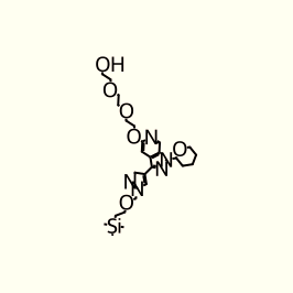 C[Si](C)(C)CCOCn1cc(-c2nn(C3CCCCO3)c3cnc(OCCOCCOCCO)cc23)cn1